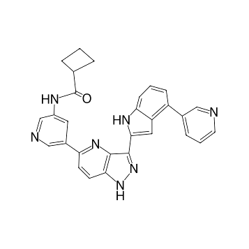 O=C(Nc1cncc(-c2ccc3[nH]nc(-c4cc5c(-c6cccnc6)cccc5[nH]4)c3n2)c1)C1CCC1